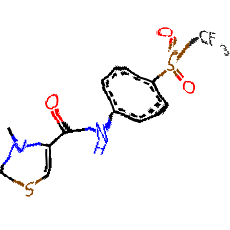 CN1CSC=C1C(=O)Nc1ccc(S(=O)(=O)C(F)(F)F)cc1